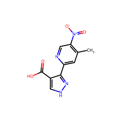 Cc1cc(-c2n[nH]cc2C(=O)O)ncc1[N+](=O)[O-]